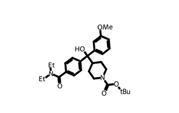 CCN(CC)C(=O)c1ccc(C(O)(c2cccc(OC)c2)C2CCN(C(=O)OC(C)(C)C)CC2)cc1